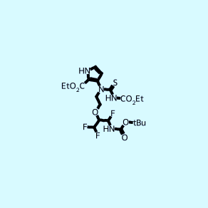 CCOC(=O)NC(=S)N(CCOC(C(F)F)C(F)NC(=O)OC(C)(C)C)c1cc[nH]c1C(=O)OCC